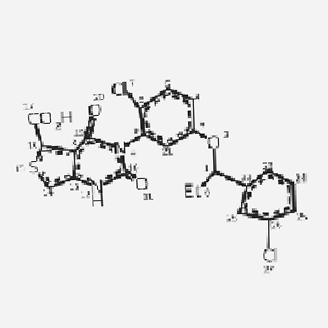 CCC(Oc1ccc(Cl)c(-n2c(=O)[nH]c3csc(C(=O)O)c3c2=O)c1)c1cccc(Cl)c1